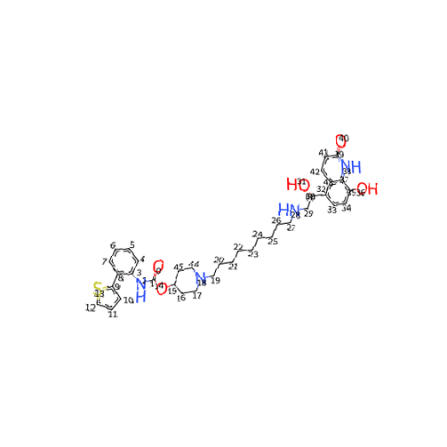 O=C(Nc1ccccc1-c1cccs1)OC1CCN(CCCCCCCCCNC[C@H](O)c2ccc(O)c3[nH]c(=O)ccc23)CC1